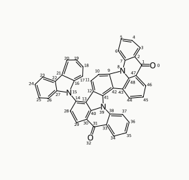 O=c1c2ccccc2n2c3ccc4c5c(-n6c7ccccc7c7ccccc76)ccc6c(=O)c7ccccc7n(c65)c4c3c3cccc1c32